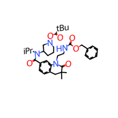 CC(C)N(C(=O)c1ccc2c(c1)N(CCNC(=O)OCc1ccccc1)C(=O)C(C)(C)C2)C1CCCN(OC(=O)C(C)(C)C)C1